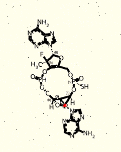 C[C@@]1(F)C2=C(CO[P@](=O)(S)O[C@@H]3[C@H](F)[C@@H](CO[PH](=O)O2)O[C@H]3n2cnc3c(N)ncnc32)O[C@H]1n1cnc2c(N)ncnc21